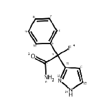 NC(=O)C(F)(c1ccccc1)c1cc[nH]n1